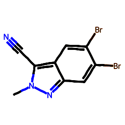 Cn1nc2cc(Br)c(Br)cc2c1C#N